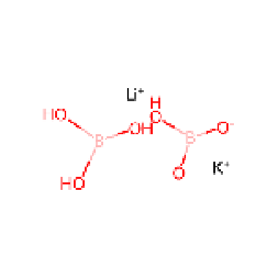 OB(O)O.[K+].[Li+].[O-]B([O-])O